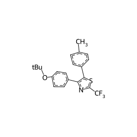 Cc1ccc(-c2sc(C(F)(F)F)nc2-c2ccc(OC(C)(C)C)cc2)cc1